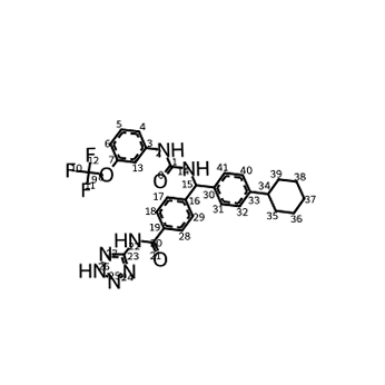 O=C(Nc1cccc(OC(F)(F)F)c1)NC(c1ccc(C(=O)Nc2nn[nH]n2)cc1)c1ccc(C2CCCCC2)cc1